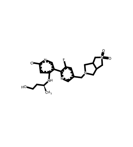 C[C@@H](CCO)Nc1cc(Cl)ncc1-c1ncc(CN2CC3CS(=O)(=O)CC3C2)cc1F